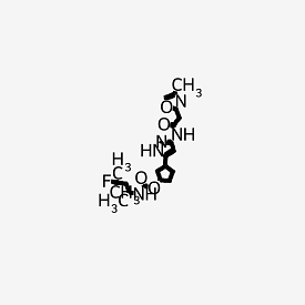 Cc1coc(CC(=O)Nc2cc(C3CCC(OC(=O)NC(C)CC(C)(C)F)C3)[nH]n2)n1